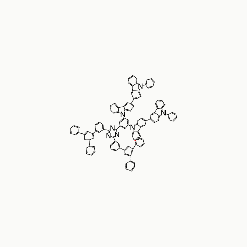 c1ccc(-c2cc(-c3ccccc3)cc(-c3cccc(-c4nc(-c5cccc(-c6cc(-c7ccccc7)cc(-c7ccccc7)c6)c5)nc(-c5cc(-n6c7ccccc7c7cc(-c8ccc9c(c8)c8ccccc8n9-c8ccccc8)ccc76)cc(-n6c7ccccc7c7cc(-c8ccc9c(c8)c8ccccc8n9-c8ccccc8)ccc76)c5)n4)c3)c2)cc1